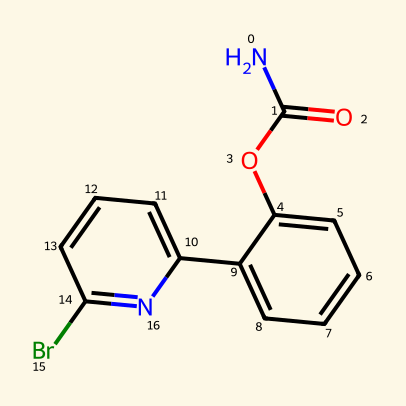 NC(=O)Oc1ccccc1-c1cccc(Br)n1